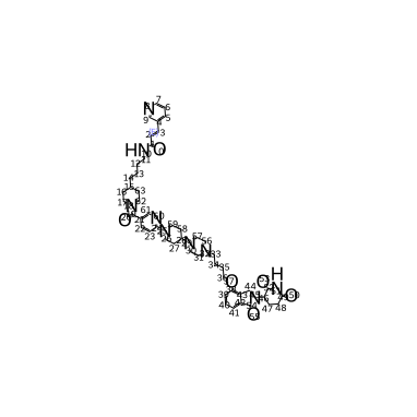 O=C(/C=C/c1cccnc1)NCCCCC1CCN(C(=O)c2ccc(N3CCC(N4CCN(CCCCOc5cccc6c5CN(C5CCC(=O)NC5=O)C6=O)CC4)CC3)nc2)CC1